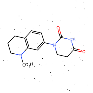 O=C1CCN(c2ccc3c(c2)N(C(=O)O)CCC3)C(=O)N1